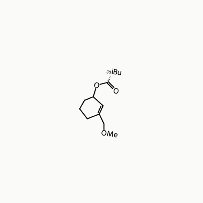 CC[C@@H](C)C(=O)OC1C=C(COC)CCC1